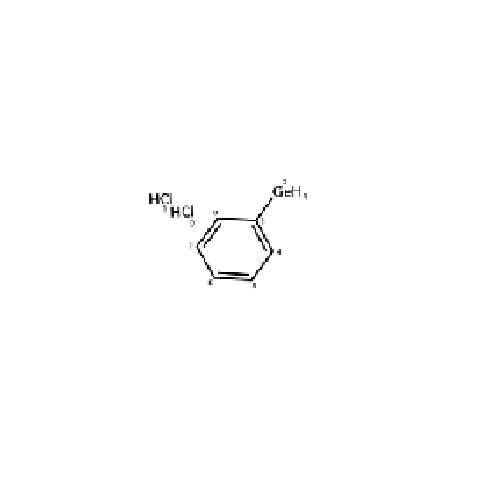 Cl.Cl.[GeH3][c]1ccccc1